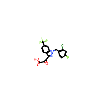 O=C(O)C1OC1c1nn(Cc2ccc(F)cc2Cl)c2cc(C(F)(F)F)ccc12